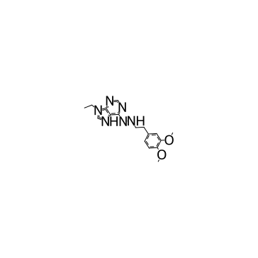 CCn1cnc2c(NNCCc3ccc(OC)c(OC)c3)ncnc21